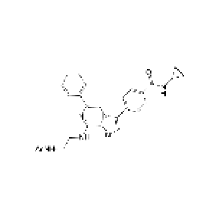 CC(=O)NCCNc1nc(-c2ccccc2)cn2c(-c3ccc(C(=O)NC4CC4)cc3)cnc12